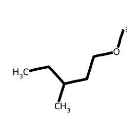 [C]OCCC(C)CC